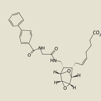 O=C(O)CCC/C=C\C[C@H]1[C@@H](CNC(=O)CNC(=O)c2ccc(-c3ccccc3)cc2)[C@@H]2O[C@H]1[C@@H]1O[C@@H]12